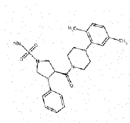 CCCCS(=O)(=O)N1C[C@@H](C(=O)N2CCN(c3cc(C)ccc3C)CC2)N(c2ccccc2)C1